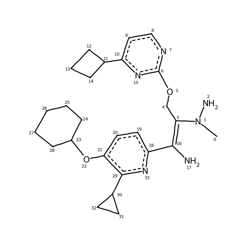 CN(N)/C(COc1nccc(C2CCC2)n1)=C(\N)c1ccc(OC2CCCCC2)c(C2CC2)n1